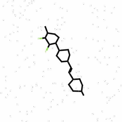 CC1CCC(C=CC2CCC(C3CCC(C)C(F)C3F)CC2)CC1